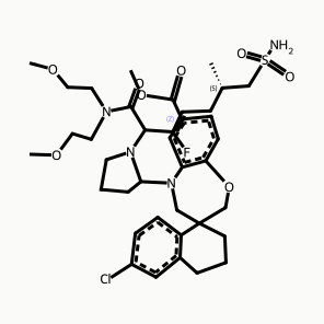 COCCN(CCOC)C(=O)C(/C(F)=C/C[C@H](C)CS(N)(=O)=O)N1CCCC1N1CC2(CCCc3cc(Cl)ccc32)COc2ccc(C(=O)OC)cc21